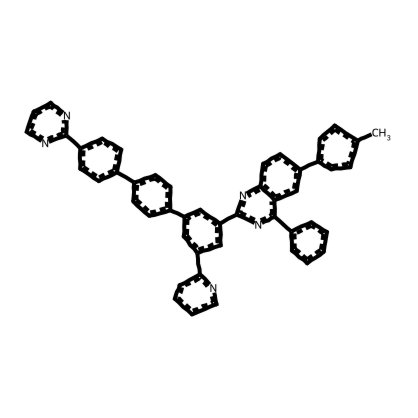 Cc1ccc(-c2ccc3nc(-c4cc(-c5ccc(-c6ccc(-c7ncccn7)cc6)cc5)cc(-c5ccccn5)c4)nc(-c4ccccc4)c3c2)cc1